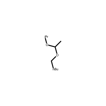 CCCCCOC(C)OC(C)C